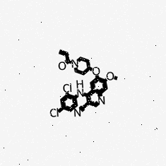 C=CC(=O)N1CCC(Oc2cc3c(Nc4ccc(Cl)cc4Cl)c(C#N)cnc3cc2OC)CC1